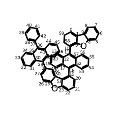 C1=c2c(oc3ccccc23)=C(c2c3ccccc3c(-c3cccc4oc5ccc(-c6c7ccccc7c(-c7ccccc7)c7ccccc67)cc5c34)c3ccccc23)CC1